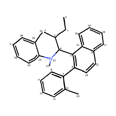 CCC(C)C(c1c(-c2ccccc2C)ccc2ccccc12)N(C)c1ccccc1C